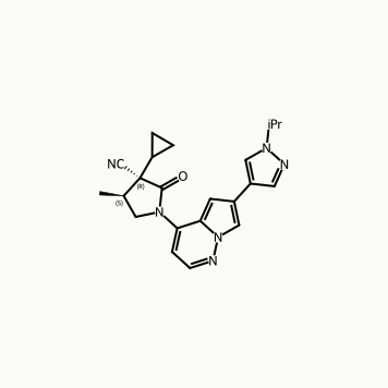 CC(C)n1cc(-c2cc3c(N4C[C@@H](C)[C@@](C#N)(C5CC5)C4=O)ccnn3c2)cn1